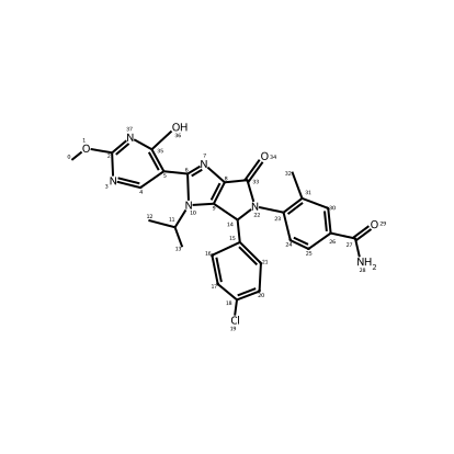 COc1ncc(-c2nc3c(n2C(C)C)C(c2ccc(Cl)cc2)N(c2ccc(C(N)=O)cc2C)C3=O)c(O)n1